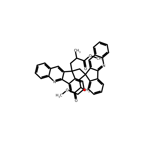 COC(=O)C(C)CC1(CC2(CC(C)C(=O)OC)c3ccccc3-c3nc4ccccc4cc32)C2=CCCC=C2c2nc3ccccc3cc21